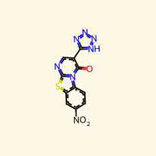 O=c1c(-c2nnn[nH]2)cnc2sc3cc([N+](=O)[O-])ccc3n12